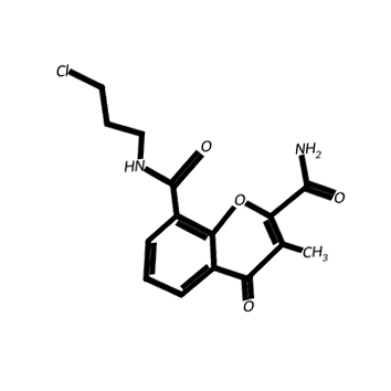 Cc1c(C(N)=O)oc2c(C(=O)NCCCCl)cccc2c1=O